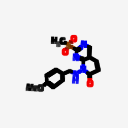 COc1ccc(CNn2c(=O)ccc3cnc(S(C)(=O)=O)nc32)cc1